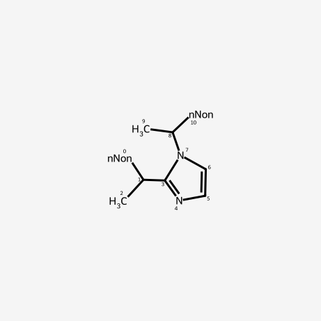 CCCCCCCCCC(C)c1nccn1C(C)CCCCCCCCC